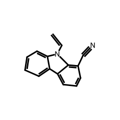 C=Cn1c2ccccc2c2cccc(C#N)c21